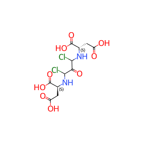 O=C(O)C[C@H](NC(Cl)C(=O)C(Cl)N[C@@H](CC(=O)O)C(=O)O)C(=O)O